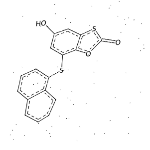 O=c1oc2c(Sc3cccc4ccccc34)cc(O)cc2s1